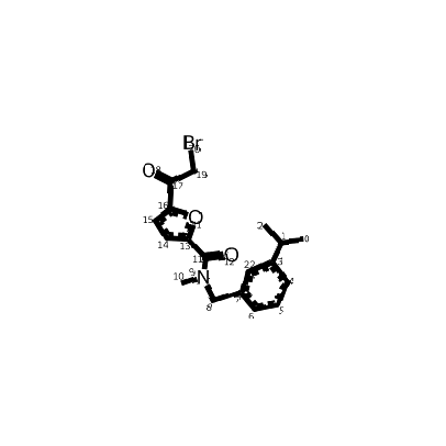 CC(C)c1cccc(CN(C)C(=O)c2ccc(C(=O)CBr)o2)c1